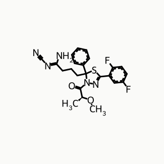 CO[C@@H](C)C(=O)N1N=C(c2cc(F)ccc2F)SC1(CCC/C(N)=N/C#N)c1ccccc1